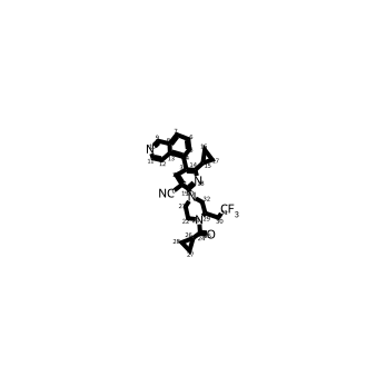 N#Cc1cc(-c2cccc3cnccc23)c(C2CC2)nc1N1CCN(C(=O)C2CC2)C(CC(F)(F)F)C1